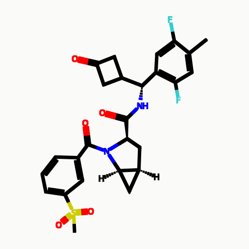 Cc1cc(F)c([C@H](NC(=O)[C@H]2C[C@H]3C[C@H]3N2C(=O)c2cccc(S(C)(=O)=O)c2)C2CC(=O)C2)cc1F